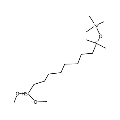 CO[SiH](CCCCCCCC[Si](C)(C)O[Si](C)(C)C)OC